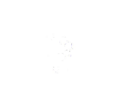 COc1cc2c(cc1-c1c(C)noc1C)[nH]c1nc(C)nc(N[C@H](C(=O)O)c3ccccc3)c12